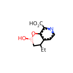 CCC1CB(O)Oc2c1ccnc2C(=O)O